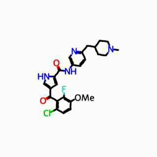 COc1ccc(Cl)c(C(=O)c2c[nH]c(C(=O)Nc3ccc(CC4CCN(C)CC4)nc3)c2)c1F